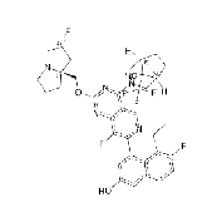 CCc1c(F)ccc2cc(O)cc(-c3ncc4c(N5C[C@H]6CC[C@@H](C5)C6(O)C(F)(F)F)nc(OC[C@@]56CCCN5C[C@H](F)C6)nc4c3F)c12